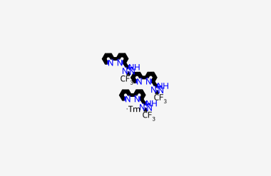 FC(F)(F)c1n[nH]c(-c2cccc(-c3ccccn3)n2)n1.FC(F)(F)c1n[nH]c(-c2cccc(-c3ccccn3)n2)n1.FC(F)(F)c1n[nH]c(-c2cccc(-c3ccccn3)n2)n1.[Tm]